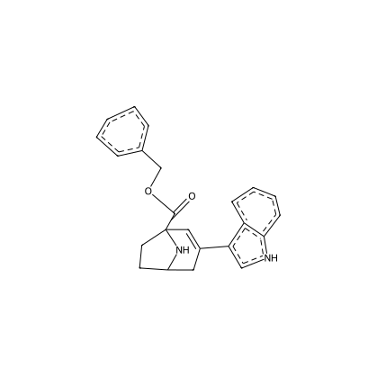 O=C(OCc1ccccc1)C12C=C(c3c[nH]c4ccccc34)CC(CC1)N2